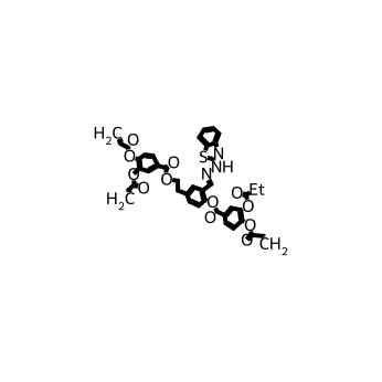 C=CC(=O)Oc1ccc(C(=O)OCCc2ccc(OC(=O)c3ccc(OC(=O)C=C)c(OC(=O)CC)c3)c(/C=N/Nc3nc4ccccc4s3)c2)cc1OC(=O)C=C